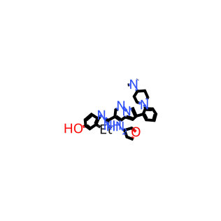 CCc1cc(O)ccc1/N=C(\N)c1cnn2cc(-c3ccccc3N3CCC(N(C)C)CC3)cc2c1N[C@@H]1CCOC1